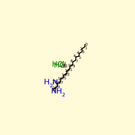 CCCCCCCCCCCCCCCCCCC(N)CCN.Cl.Cl